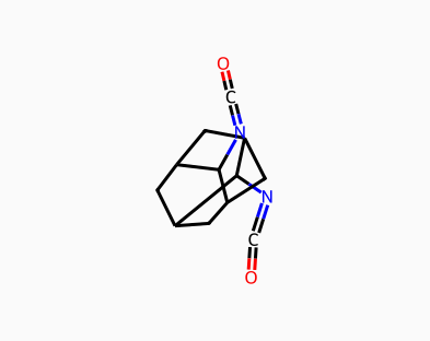 O=C=NC1C2CC3CC1CC(C2)C3N=C=O